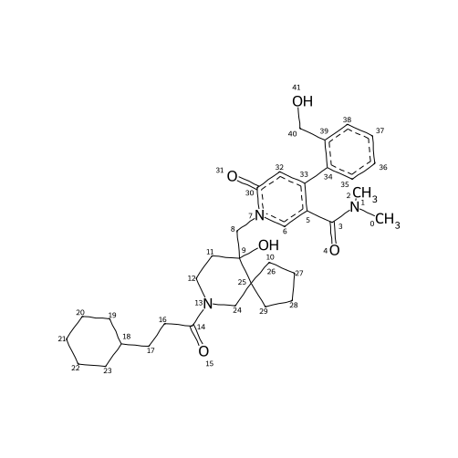 CN(C)C(=O)c1cn(CC2(O)CCN(C(=O)CCC3CCCCC3)CC23CCCC3)c(=O)cc1-c1ccccc1CO